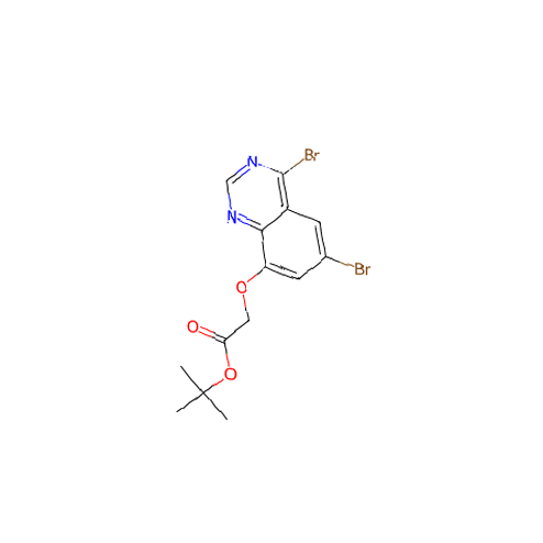 CC(C)(C)OC(=O)COc1cc(Br)cc2c(Br)ncnc12